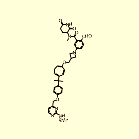 CSNc1nccc(COc2ccc(C(C)(C)C3=CCC=C(OCC4CN(c5ccc(C=O)c(C(=O)N(C)C6CCC(=O)NC6=O)c5)C4)C=C3)cc2)n1